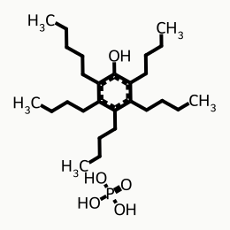 CCCCCc1c(O)c(CCCC)c(CCCC)c(CCCC)c1CCCC.O=P(O)(O)O